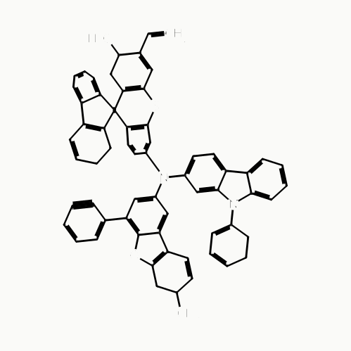 C=CC1=CC2=C(CC1C)C1(C3=C(C=CCC3)c3ccccc31)c1ccc(N(c3cc(-c4c#cccc4)c4oc5c(c4c3)C=CC(C)C5)c3ccc4c5ccccc5n(C5=CC=CCC5)c4c3)cc1S2